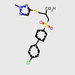 Cn1ncc(SCC(CS(=O)(=O)c2ccc(-c3ccc(Cl)cc3)cc2)C(=O)O)n1